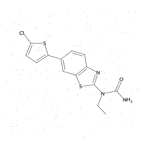 CCN(C(N)=O)c1nc2ccc(-c3ccc(Cl)s3)cc2s1